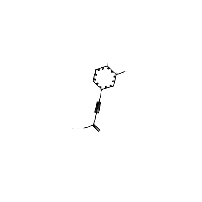 COC(=O)C#Cc1cccc(Cl)c1